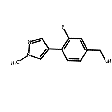 Cn1cc(-c2ccc(CN)cc2F)cn1